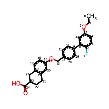 CCOc1ccc(F)c(-c2ccc(COc3ccc4c(c3)CCC(C(=O)O)C4)cc2)c1